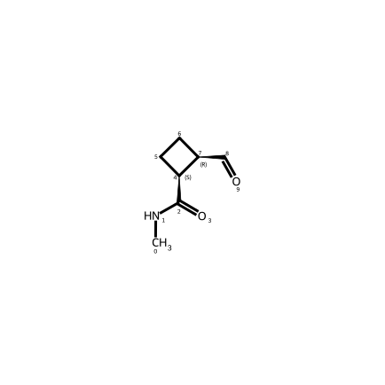 CNC(=O)[C@H]1CC[C@H]1C=O